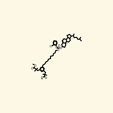 COC(=O)C(C)(C)Cc1cc(CCCCCCCCCCCOP(=O)(Oc2ccccc2Cl)O[C@H]2CC[C@@]3(C)C(=CCC4C5CCC(C(C)CCCC(C)C)[C@@]5(C)CCC43)C2)cc(CC(C)(C)C(=O)OC)c1